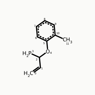 C=CC(P)Oc1ccccc1C